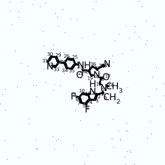 C=C(c1cc2c(F)cc(F)cc2[nH]1)N(C)CC(=O)N1CC(C(=O)Nc2ccc(-c3cccnc3)cc2)CC1C#N